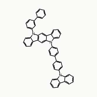 c1ccc(-c2cccc(-n3c4ccccc4c4cc5c(cc43)c3ccccc3n5-c3ccc(-c4ccc(-n5c6ccccc6c6ccccc65)cc4)cc3)c2)cc1